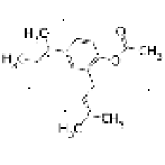 CCC(C)c1ccc(OC(C)=O)c(CC=C(C)C)c1